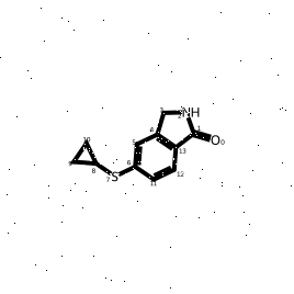 O=C1NCc2cc(SC3CC3)ccc21